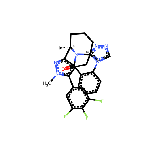 Cn1nc2c(c1-c1cc(F)c(F)c(F)c1)C[C@@H]1CCC[C@H]2N1C(=O)c1ccccc1-n1cnnc1